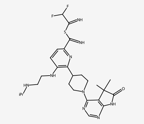 CC(C)NCCNc1ccc(C(=N)SC(=N)C(F)F)nc1C1CCN(c2ncnc3c2C(C)(C)C(=O)N3)CC1